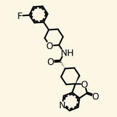 O=C1O[C@]2(CC[C@@H](C(=O)NC3CCC(c4cccc(F)c4)CO3)CC2)c2cnccc21